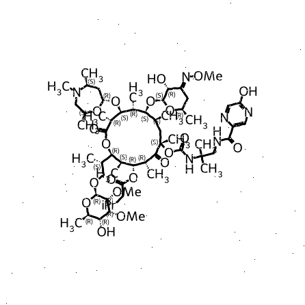 CON=C1C[C@@H](C)O[C@@H](O[C@@H]2[C@@H](C)[C@H](O[C@H]3C[C@H](C)N(C)C[C@H](C)O3)[C@@H](C)C(=O)O[C@H]([C@@H](C)CO[C@@H]3O[C@H](C)[C@@H](O)[C@@H](OC)[C@H]3OC)[C@H](C)[C@@H](OC(=O)CC(C)C)[C@@H](C)C(=O)[C@@](C)(OC(=O)NC(C)(C)CNC(=O)c3cnc(O)cn3)C[C@@H]2C)[C@@H]1O